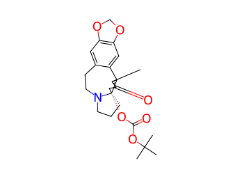 CC1=C2c3cc4c(cc3CCN3CCC[C@]23[C@H](OC(=O)OC(C)(C)C)C1=O)OCO4